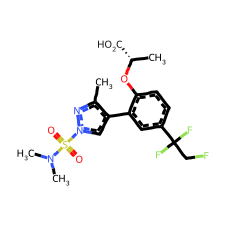 Cc1nn(S(=O)(=O)N(C)C)cc1-c1cc(C(F)(F)CF)ccc1O[C@@H](C)C(=O)O